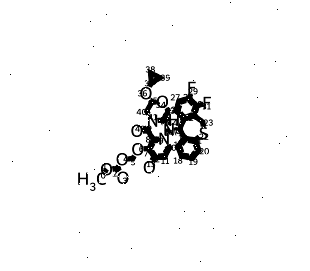 COC(=O)OCOc1c2n(ccc1=O)N([C@@H]1c3ccccc3SCc3c1ccc(F)c3F)[C@@H]1COC(OC3CC3)CN1C2=O